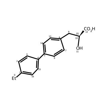 CCc1ccc(-c2ccc(C[C@H](O)C(=O)O)cc2)cc1